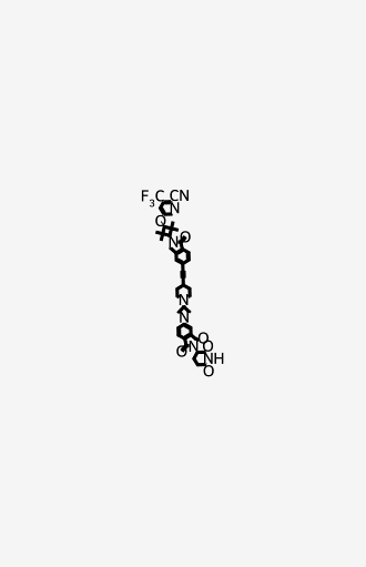 CC1(C)[C@H](Oc2cnc(C#N)c(C(F)(F)F)c2)C(C)(C)[C@H]1N1Cc2cc(C#CC3CCN(C4CN(c5ccc6c(c5)C(=O)N(C5CCC(=O)NC5=O)C6=O)C4)CC3)ccc2C1=O